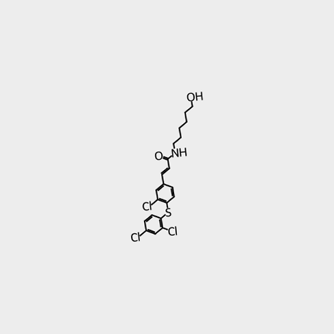 O=C(C=Cc1ccc(Sc2ccc(Cl)cc2Cl)c(Cl)c1)NCCCCCCO